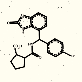 CC(C)c1ccc(C(NC(=O)C2CCCC2C(=O)O)c2cccc3oc(=O)[nH]c23)cc1